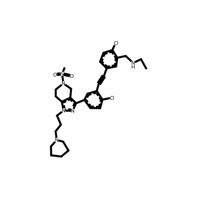 CCNCc1cc(C#Cc2cc(-c3nn(CCCN4CCCCC4)c4c3CN(S(C)(=O)=O)CC4)ccc2Cl)ccc1Cl